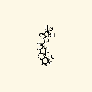 COc1c(F)cccc1N1CCN(C(=O)CC[C@@]2(C)NC(=O)NC2=O)C[C@@H]1C